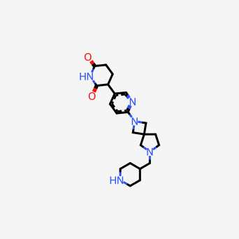 O=C1CCC(c2ccc(N3CC4(CCN(CC5CCNCC5)C4)C3)nc2)C(=O)N1